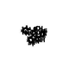 COC(CO)[C@@H](Cc1cccnn1)NC(=O)c1cccc(F)c1-c1cc(-c2ccc(F)cc2)[nH]n1